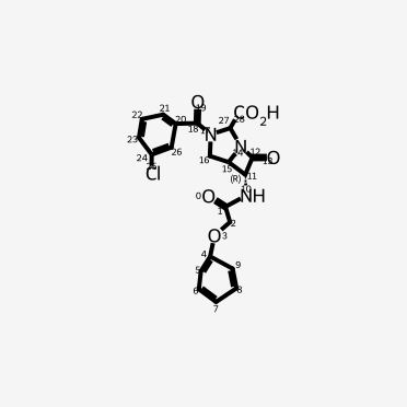 O=C(COc1ccccc1)N[C@H]1C(=O)N2C1CN(C(=O)c1cccc(Cl)c1)C2C(=O)O